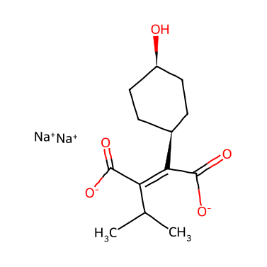 CC(C)C(C(=O)[O-])=C(C(=O)[O-])[C@H]1CC[C@@H](O)CC1.[Na+].[Na+]